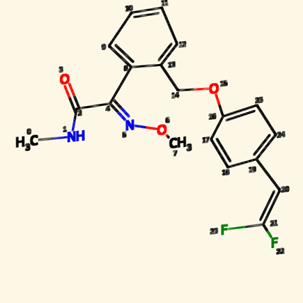 CNC(=O)/C(=N/OC)c1ccccc1COc1ccc(C=C(F)F)cc1